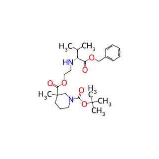 CC(C)[C@@H](NCCOC(=O)C1(C)CCCN(C(=O)OC(C)(C)C)C1)C(=O)OCc1ccccc1